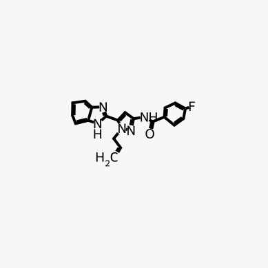 C=CCn1nc(NC(=O)c2ccc(F)cc2)cc1-c1nc2ccccc2[nH]1